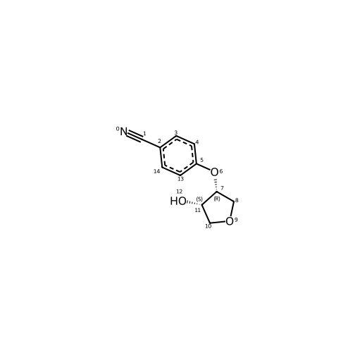 N#Cc1ccc(O[C@@H]2COC[C@@H]2O)cc1